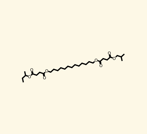 CCC(C)OC(=O)CCC(=O)OCCCCCCCCCCCCCOC(=O)CCC(=O)OCC(C)C